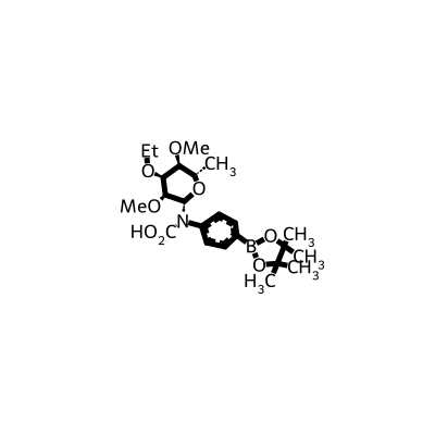 CCO[C@H]1[C@@H](OC)[C@H](C)O[C@H](N(C(=O)O)c2ccc(B3OC(C)(C)C(C)(C)O3)cc2)[C@H]1OC